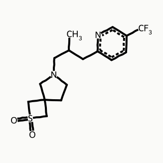 CC(Cc1ccc(C(F)(F)F)cn1)CN1CCC2(C1)CS(=O)(=O)C2